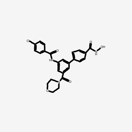 O=C(NO)c1ccc(-c2cc(NC(=O)c3ccc(Cl)cc3)cc(C(=O)N3CCOCC3)c2)cc1